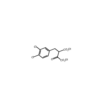 CCOC(=O)C(=O)C(Cc1ccc(Cl)c(Cl)c1)C(=O)OCC